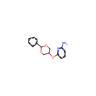 Nc1cccc(OC2COC(c3ccccc3)OC2)n1